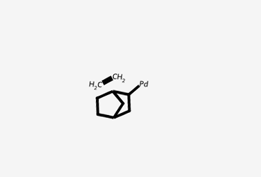 C=C.[Pd][CH]1CC2CCC1C2